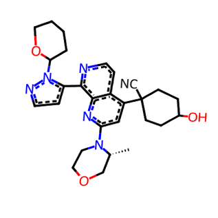 C[C@@H]1COCCN1c1cc(C2(C#N)CCC(O)CC2)c2ccnc(-c3ccnn3C3CCCCO3)c2n1